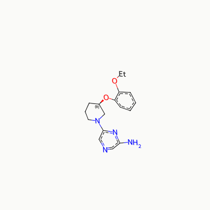 CCOc1ccccc1O[C@@H]1CCCN(c2cncc(N)n2)C1